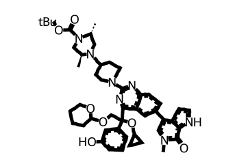 C[C@@H]1CN(C2CCN(c3nc(C(COC4CCCCO4)(OC4CC4)c4cccc(O)c4)c4cc(-c5cn(C)c(=O)c6[nH]ccc56)ccc4n3)CC2)[C@@H](C)CN1C(=O)OC(C)(C)C